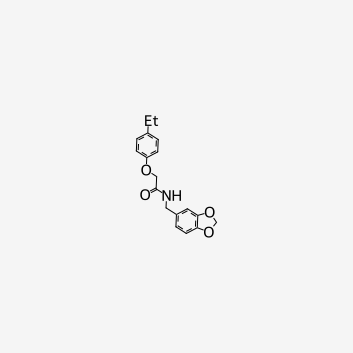 CCc1ccc(OCC(=O)NCc2ccc3c(c2)OCO3)cc1